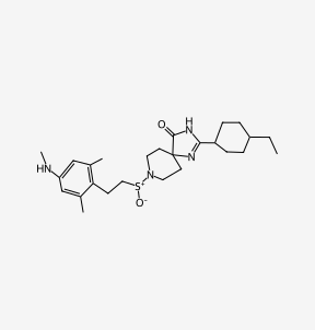 CCC1CCC(C2=NC3(CCN([S+]([O-])CCc4c(C)cc(NC)cc4C)CC3)C(=O)N2)CC1